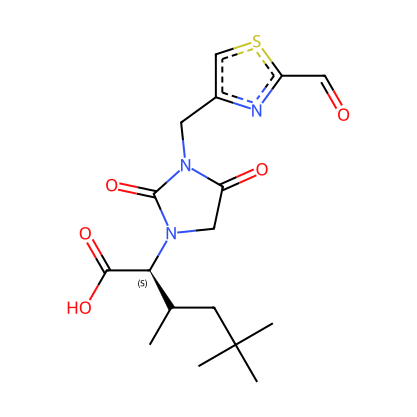 CC(CC(C)(C)C)[C@@H](C(=O)O)N1CC(=O)N(Cc2csc(C=O)n2)C1=O